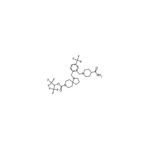 NC(=O)C1CCN(Cc2cc(C(F)(F)F)ccc2CN2CCCC23CCN(C(=O)OC(C(F)(F)F)C(F)(F)F)CC3)CC1